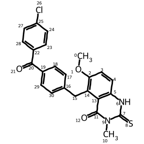 COc1ccc2[nH]c(=S)n(C)c(=O)c2c1Cc1ccc(C(=O)c2ccc(Cl)cc2)cc1